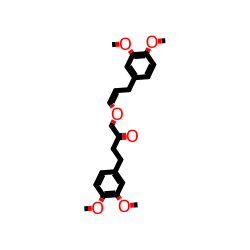 COc1ccc(C/C=C\OCC(=O)CCc2ccc(OC)c(OC)c2)cc1OC